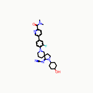 CN(C)C(=O)c1ccc(-c2ccc(N3CCCC4(CCN(C5CCC(O)CC5)/C4=N/C#N)C3)c(F)c2)cn1